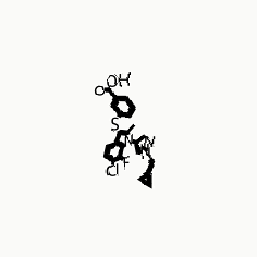 Cc1c(Sc2cccc(C(=O)O)c2)c2ccc(Cl)c(F)c2n1-c1cnn(CC2CC2)c1